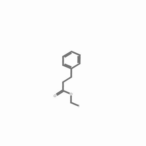 O=C(CCc1ccccc1)OCI